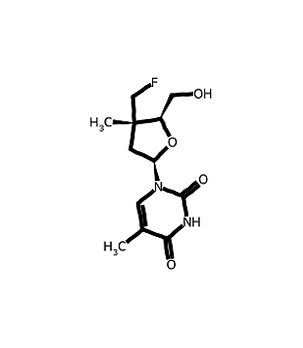 Cc1cn([C@H]2C[C@](C)(CF)[C@@H](CO)O2)c(=O)[nH]c1=O